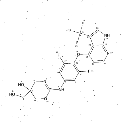 OCC1(O)CN=C(Nc2cc(F)c(Oc3ccnc4[nH]cc(C(F)(F)F)c34)c(F)c2)OC1